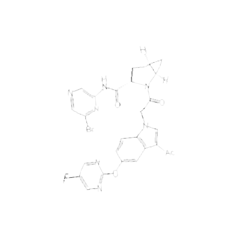 CC(=O)c1cn(CC(=O)N2[C@@H]3C[C@@H]3C[C@H]2C(=O)Nc2cncc(Br)n2)c2ccc(Oc3ncc(F)cn3)cc12